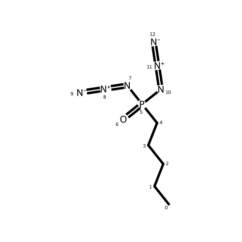 CCCCCP(=O)(N=[N+]=[N-])N=[N+]=[N-]